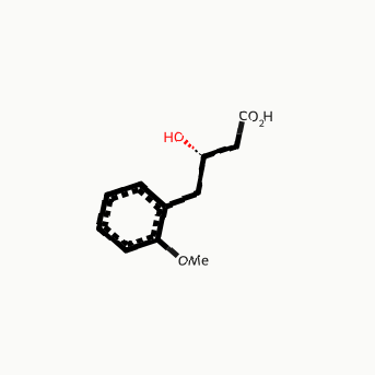 COc1ccccc1C[C@H](O)CC(=O)O